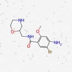 COc1cc(N)c(Br)cc1C(=O)NCC1CNCCO1